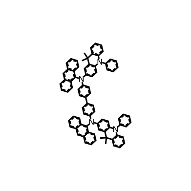 CC1(C)c2ccccc2N(c2ccccc2)c2ccc(N(c3ccc(-c4ccc(N(c5ccc6c(c5)C(C)(C)c5ccccc5N6c5ccccc5)c5c6ccccc6cc6ccccc56)cc4)cc3)c3c4ccccc4cc4ccccc34)cc21